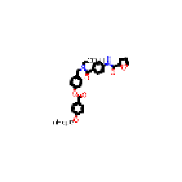 CCCCCCCOc1ccc(C(=O)Oc2ccc(CN(CC(=O)O)C(=O)c3ccc(NC(=O)c4ccco4)cc3)cc2)cc1